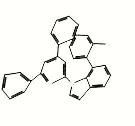 O=[N+]([O-])c1ccccc1-c1cccc2ccn(-c3cc(-c4ccccc4)cc(-c4ccccc4)n3)c12